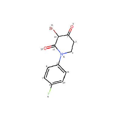 O=C1CCN(c2ccc(F)cc2)C(=O)C1Br